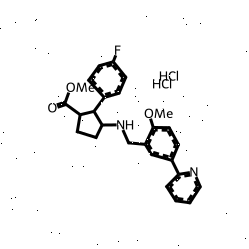 COC(=O)C1CCC(NCc2cc(-c3ccccn3)ccc2OC)C1c1ccc(F)cc1.Cl.Cl